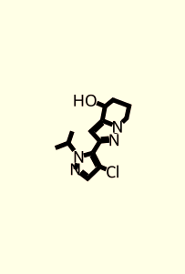 CC(C)n1ncc(Cl)c1-c1cc2n(n1)CCCC2O